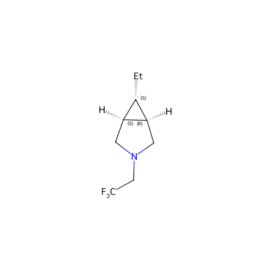 CC[C@@H]1[C@H]2CN(CC(F)(F)F)C[C@@H]12